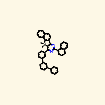 C[Si]1(C)c2c(-c3cccc(-c4cccc(-c5ccccc5)c4)c3)nc(-c3cccc4ccccc34)nc2-c2ccc3ccccc3c21